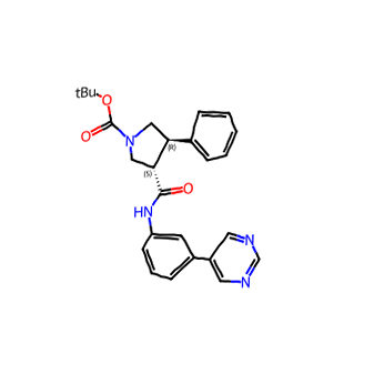 CC(C)(C)OC(=O)N1C[C@@H](C(=O)Nc2cccc(-c3cncnc3)c2)[C@H](c2ccccc2)C1